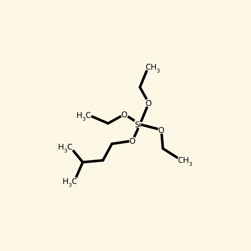 CCO[Si](OCC)(OCC)OCCC(C)C